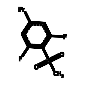 CC(C)c1cc(F)c(S(C)(=O)=O)c(F)c1